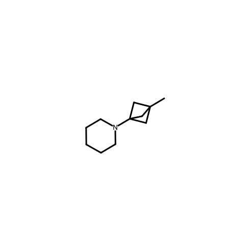 CC12CC(N3CCCCC3)(C1)C2